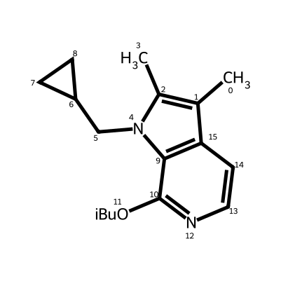 Cc1c(C)n(CC2CC2)c2c(OCC(C)C)nccc12